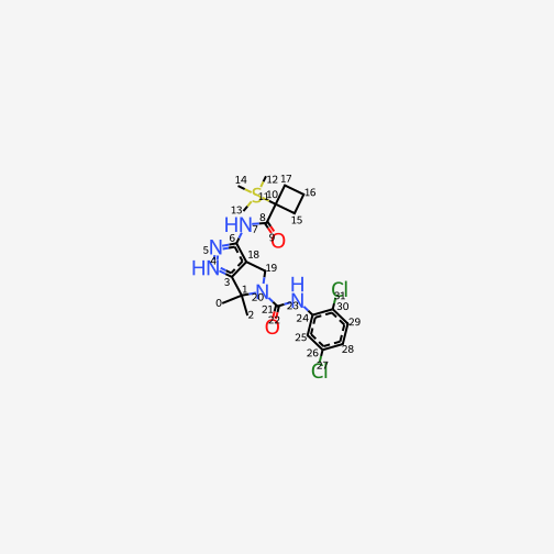 CC1(C)c2[nH]nc(NC(=O)C3(S(C)(C)C)CCC3)c2CN1C(=O)Nc1cc(Cl)ccc1Cl